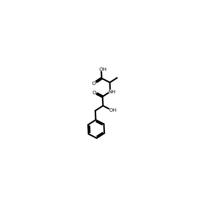 CC(NC(=O)C(O)Cc1ccccc1)C(=O)O